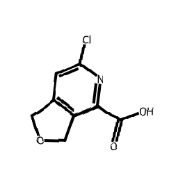 O=C(O)c1nc(Cl)cc2c1COC2